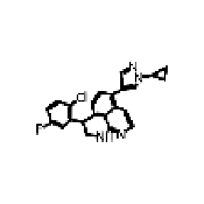 Fc1ccc(Cl)c(C2CNc3nccc4c(-c5cnn(C6CC6)c5)ccc2c34)c1